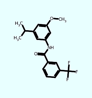 COc1cc(NC(=O)c2cccc(C(F)(F)F)c2)cc(C(C)C)c1